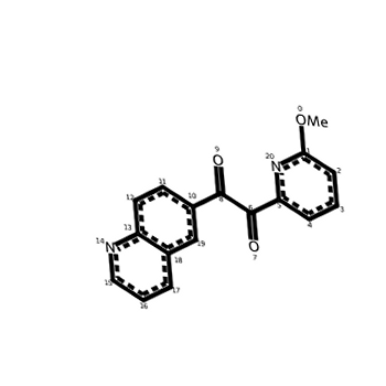 COc1cccc(C(=O)C(=O)c2ccc3ncccc3c2)n1